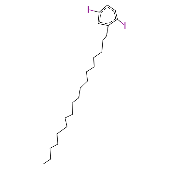 CCCCCCCCCCCCCCCCCCc1cc(I)ccc1I